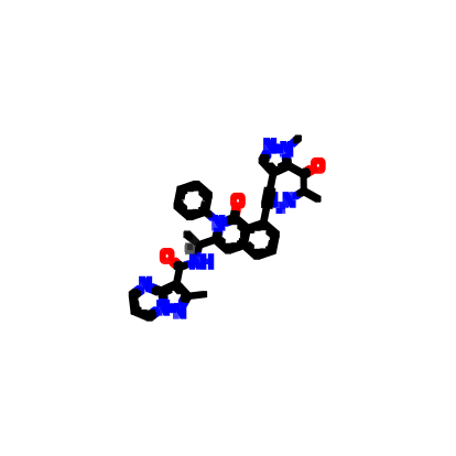 Cc1nn2cccnc2c1C(=O)N[C@@H](C)c1cc2cccc(C#Cc3cnn(C)c3C(=O)C(C)N)c2c(=O)n1-c1ccccc1